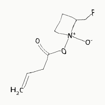 C=CCC(=O)O[N+]1([O-])CCC1F